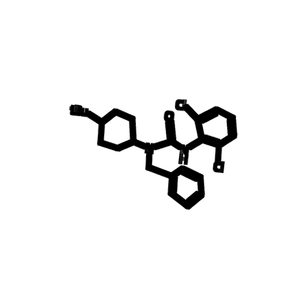 CC(C)(C)C1CCC(N(Cc2ccccc2)C(=O)Nc2c(Cl)cccc2Cl)CC1